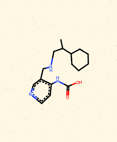 CC(CNCc1cnccc1NC(=O)O)C1CCCCC1